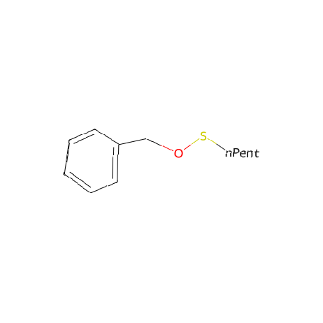 CCCCCSOCc1ccccc1